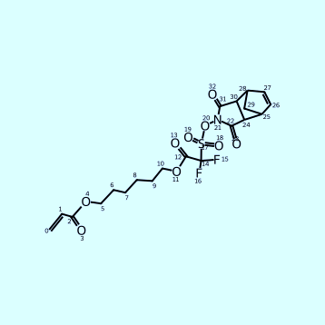 C=CC(=O)OCCCCCCOC(=O)C(F)(F)S(=O)(=O)ON1C(=O)C2C3C=CC(C3)C2C1=O